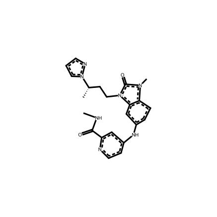 CNC(=O)c1cc(Nc2ccc3c(c2)n(CC[C@H](C)n2cccn2)c(=O)n3C)ccn1